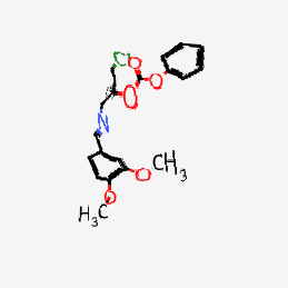 COc1ccc(C=NC[C@@H](CCl)OC(=O)Oc2ccccc2)cc1OC